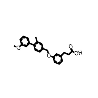 COc1cccc(-c2ccc(COc3cccc(CCC(=O)O)c3)cc2C)c1